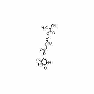 CC(C)C(=O)OCOC(=O)/C=C/C(=O)OCc1c[nH]c(=O)[nH]c1=O